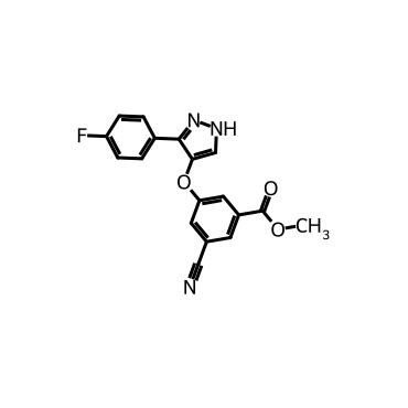 COC(=O)c1cc(C#N)cc(Oc2c[nH]nc2-c2ccc(F)cc2)c1